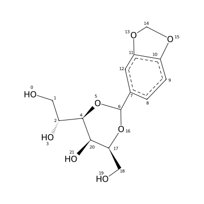 OC[C@@H](O)[C@H]1OC(c2ccc3c(c2)OCO3)O[C@@H](CO)[C@H]1O